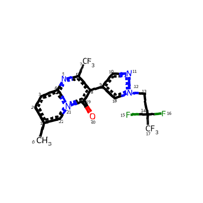 Cc1ccc2nc(C(F)(F)F)c(-c3cnn(CC(F)(F)C(F)(F)F)c3)c(=O)n2c1